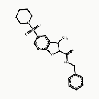 CC1c2cc(S(=O)(=O)N3CCCCC3)ccc2OC1C(=O)NCc1ccccc1